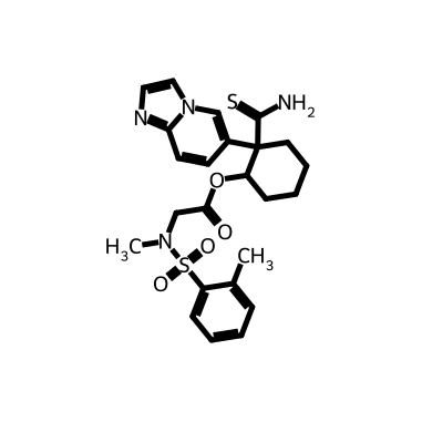 Cc1ccccc1S(=O)(=O)N(C)CC(=O)OC1CCCCC1(C(N)=S)c1ccc2nccn2c1